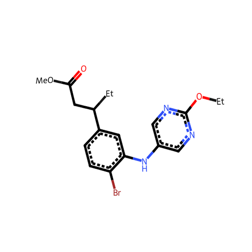 CCOc1ncc(Nc2cc(C(CC)CC(=O)OC)ccc2Br)cn1